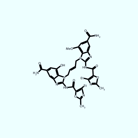 CCc1nc(C)oc1C(=O)Nc1nc2cc(C(N)=O)cc(O)c2n1C/C=C/Cn1c(NC(=O)c2oc(C)nc2CC)nc2cc(C(N)=O)cc(OC)c21